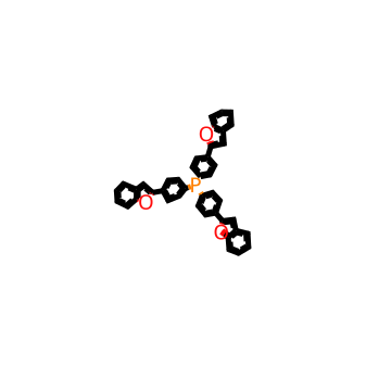 c1ccc2oc(-c3ccc(P(c4ccc(-c5cc6ccccc6o5)cc4)c4ccc(-c5cc6ccccc6o5)cc4)cc3)cc2c1